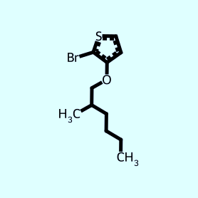 CCCCC(C)COc1ccsc1Br